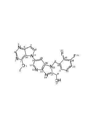 COc1ncnc2ccn(-c3cnc4nc(CO)n(Cc5cccc(F)c5F)c4c3)c12